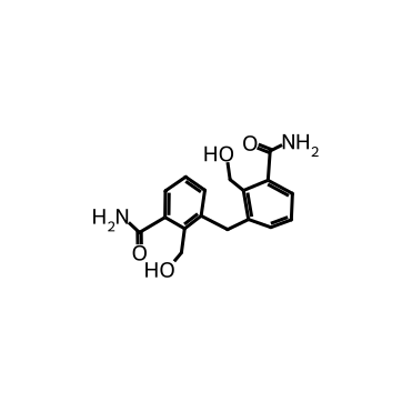 NC(=O)c1cccc(Cc2cccc(C(N)=O)c2CO)c1CO